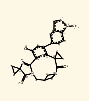 Cn1ncc2cc(-c3cc(Cl)c4cc3C3(CC3)C(=O)N3CC(C3)CN3C(=O)C5(CC5)N=C43)ccc21